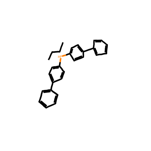 CCCC.c1ccc(-c2ccc(Pc3ccc(-c4ccccc4)cc3)cc2)cc1